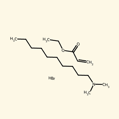 Br.C=CC(=O)OCC.CCCCCCCCCCN(C)C